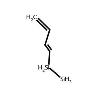 C=CC=C[SiH2][SiH3]